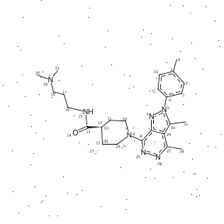 Cc1ccc(-n2nc3c(N4CC[C@H](C(=O)NCCCN(C)C)[C@@H](C)C4)nnc(C)c3c2C)cc1